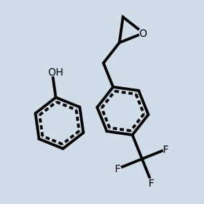 FC(F)(F)c1ccc(CC2CO2)cc1.Oc1ccccc1